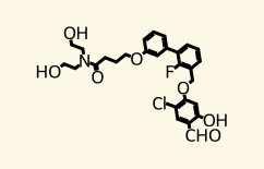 O=Cc1cc(Cl)c(OCc2cccc(-c3cccc(OCCCC(=O)N(CCO)CCO)c3)c2F)cc1O